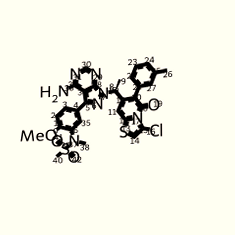 COc1ccc(-c2nn([C@@H](C)c3cc4scc(Cl)n4c(=O)c3-c3cccc(C)c3)c3ncnc(N)c23)cc1N(C)S(C)(=O)=O